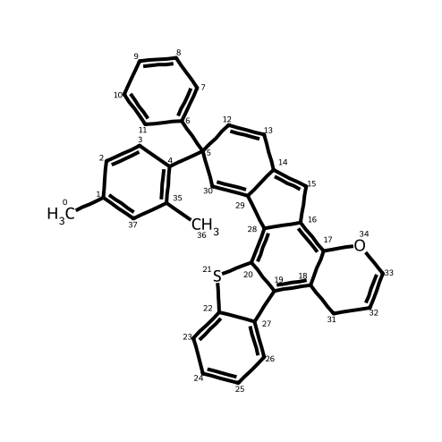 Cc1ccc(C2(c3ccccc3)C=CC3=Cc4c5c(c6c(sc7ccccc76)c4C3=C2)CC=CO5)c(C)c1